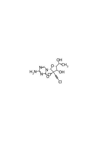 C[C@H](O)[C@H]1O[C@@H](n2cnc(N)nc2=O)[C@@](Cl)(C#CCl)C1O